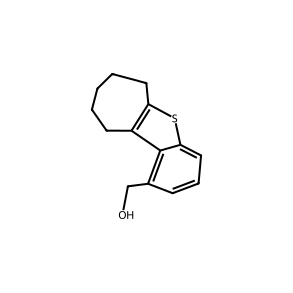 OCc1cccc2sc3c(c12)CCCCC3